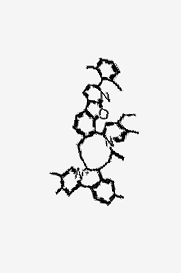 C=C1CC2c3cc(C)ccc3-c3cc(C)c(C)c[n+]3C2CCc2ccc3c(oc4nc(-c5c(C)cccc5C)ccc43)c2-c2cc(CC)c(C)c[n+]21